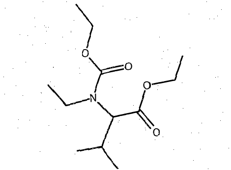 CCOC(=O)C(C(C)C)N(CC)C(=O)OCC